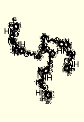 O=C(Cn1cc(Nc2ncnc3cc(OCCCN4CCC[C@@H]4COP(=O)(OC[C@H]4CCCN4CCCOc4ccc5c(Nc6cnn(CC(=O)Nc7cccc(F)c7F)c6)ncnc5c4)OC[C@H]4CCCN4CCCOc4ccc5c(Nc6cnn(CC(=O)Nc7cccc(F)c7F)c6)ncnc5c4)ccc23)cn1)Nc1cccc(F)c1F